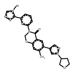 Cc1cc2c(cc1-c1cnn(C3CCOC3)c1)C(=O)N(c1cccc(-c3nncn3C(C)C)n1)CO2